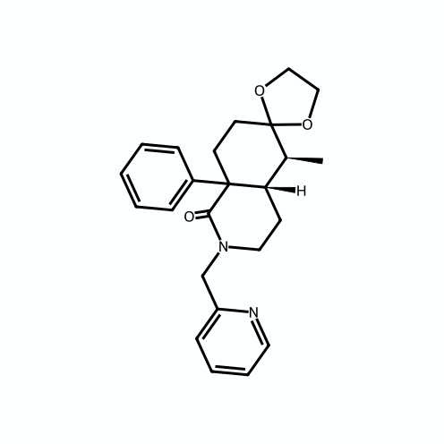 C[C@H]1[C@@H]2CCN(Cc3ccccn3)C(=O)C2(c2ccccc2)CCC12OCCO2